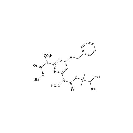 CC(C)(C)OC(=O)N(C(=O)O)c1cc(OCc2ccccc2)cc(N(C(=O)O)C(=O)OC(C)(C)C(C(C)(C)C)C(C)(C)C)n1